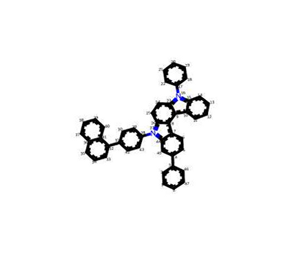 c1ccc(-c2ccc3c4c5c6ccccc6n(-c6ccccc6)c5ccc4n(-c4ccc(-c5cccc6ccccc56)cc4)c3c2)cc1